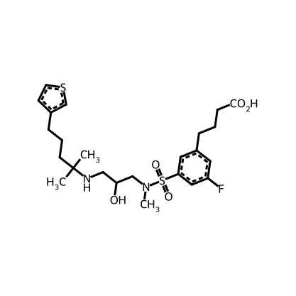 CN(CC(O)CNC(C)(C)CCCc1ccsc1)S(=O)(=O)c1cc(F)cc(CCCC(=O)O)c1